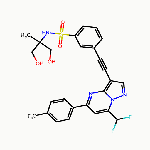 CC(CO)(CO)NS(=O)(=O)c1cccc(C#Cc2cnn3c(C(F)F)cc(-c4ccc(C(F)(F)F)cc4)nc23)c1